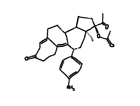 CC(=O)O[C@]1(C(C)=O)CCC2C3CCC4=CC(=O)CCC4=C3C(c3ccc(N)cc3)C[C@@]21C